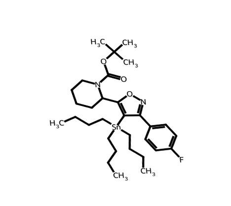 CCC[CH2][Sn]([CH2]CCC)([CH2]CCC)[c]1c(-c2ccc(F)cc2)noc1C1CCCCN1C(=O)OC(C)(C)C